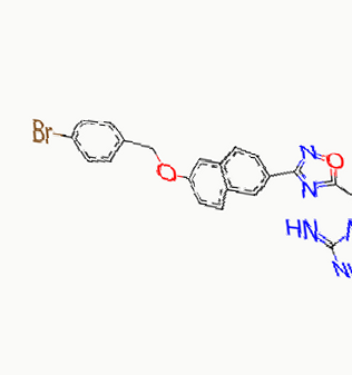 N=C(N)N1CCCC1c1nc(-c2ccc3cc(OCc4ccc(Br)cc4)ccc3c2)no1